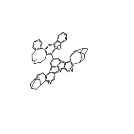 c1ccc2c(c1)CCCCCc1c-2cc2c(oc3ccccc32)c1-c1cc2c3c4c(ncc3n3c5cnc6c(c5c(c1)c23)C1CC2CC3CC6CC32C1)C1CC2CC(C1)CC4C2